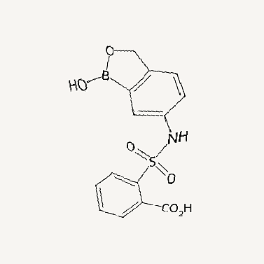 O=C(O)c1ccccc1S(=O)(=O)Nc1ccc2c(c1)B(O)OC2